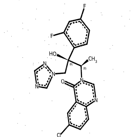 C[C@@H](n1cnc2ccc(Cl)cc2c1=O)[C@](O)(Cn1cncn1)c1ccc(F)cc1F